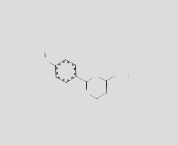 CCCCCCCC1CCOC(c2ccc(OCCCC)cc2)O1